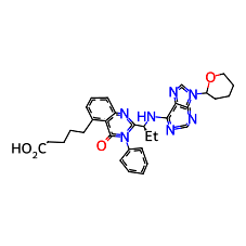 CC[C@H](Nc1ncnc2c1ncn2C1CCCCO1)c1nc2cccc(CCCCC(=O)O)c2c(=O)n1-c1ccccc1